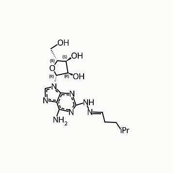 CC(C)CCC=NNc1nc(N)c2ncn([C@@H]3O[C@H](CO)[C@@H](O)[C@H]3O)c2n1